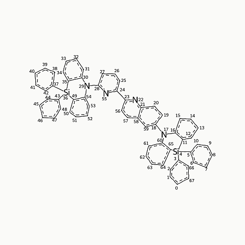 c1ccc([Si]2(c3ccccc3)c3ccccc3N(c3ccc4nc(-c5cccc(N6c7ccccc7[Si](c7ccccc7)(c7ccccc7)c7ccccc76)n5)ccc4c3)c3ccccc32)cc1